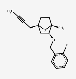 CC#CC[C@@]12CC[C@@](C)(O1)[C@@H](OCc1ccccc1F)C2